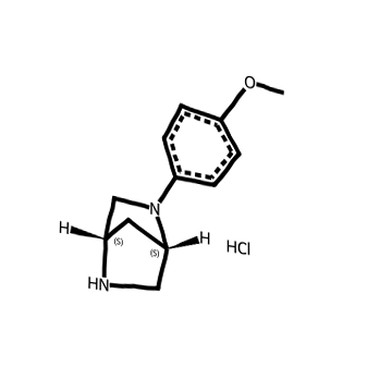 COc1ccc(N2C[C@@H]3C[C@H]2CN3)cc1.Cl